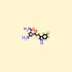 NC(=O)[C@@H]1C[C@@H](N)CN1C(=O)CCc1c[nH]c2ccc(Cl)cc12